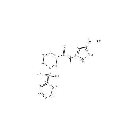 CC(C)Oc1cc(NC(=O)C2CCCC(S(=O)(=O)c3ccccn3)C2)[nH]n1